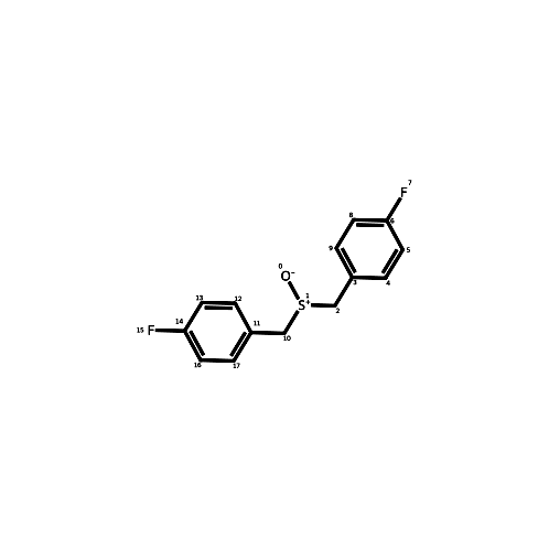 [O-][S+](Cc1ccc(F)cc1)Cc1ccc(F)cc1